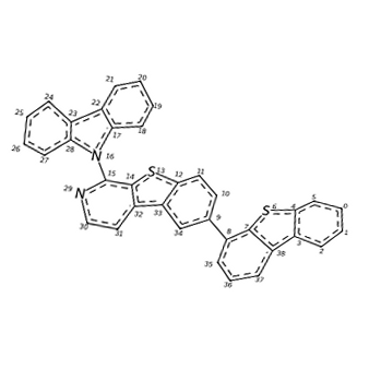 c1ccc2c(c1)sc1c(-c3ccc4sc5c(-n6c7ccccc7c7ccccc76)nccc5c4c3)cccc12